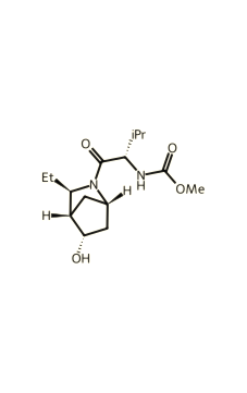 CC[C@@H]1[C@@H]2C[C@@H](C[C@@H]2O)N1C(=O)[C@@H](NC(=O)OC)C(C)C